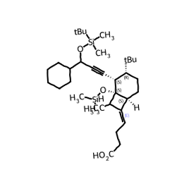 CC1/C(=C\CCC(=O)O)[C@@H]2CC[C@@H](C(C)(C)C)[C@@H](C#CC(O[Si](C)(C)C(C)(C)C)C3CCCCC3)[C@]12O[SiH](C)C